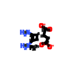 NC1=C(N)CC1.O=C([O-])CCC(=O)[O-].[Pt+2]